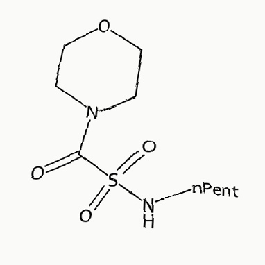 CCCCCNS(=O)(=O)C(=O)N1CCOCC1